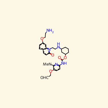 CNc1nc(NC(=O)OC2CCCC(NCCn3c(=O)ccc4ccc(OCCN)cc43)C2)ccc1OCC=O